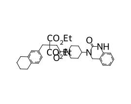 CCOC(=O)C(CC(=O)N1CCC(N2Cc3ccccc3NC2=O)CC1)(Cc1ccc2c(c1)CCCC2)C(=O)OCC